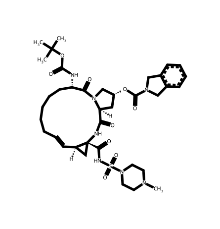 CN1CCN(S(=O)(=O)NC(=O)[C@@]23C[C@H]2/C=C/CCCCC[C@H](NC(=O)OC(C)(C)C)C(=O)N2C[C@H](OC(=O)N4Cc5ccccc5C4)C[C@H]2C(=O)N3)CC1